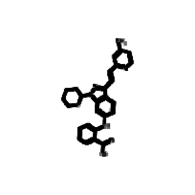 Cc1ccnc(C=Cc2nn(C3CCCCO3)c3cc(Nc4ccccc4C(=O)O)ccc23)c1